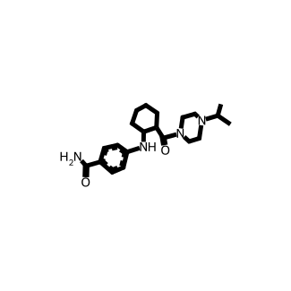 CC(C)N1CCN(C(=O)C2CCCCC2Nc2ccc(C(N)=O)cc2)CC1